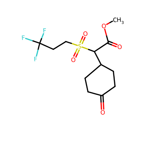 COC(=O)C(C1CCC(=O)CC1)S(=O)(=O)CCC(F)(F)F